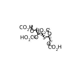 O=C(O)OCC(OC(=O)O)SSC(COC(=O)O)OC(=O)O